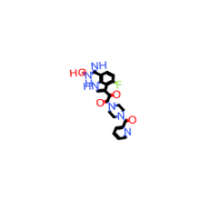 N=C(NO)c1ccc(F)c2c(C(=O)C(=O)N3CCN(C(=O)c4ccccn4)CC3)c[nH]c12